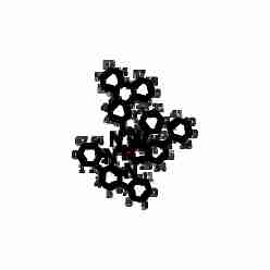 C1=CC2c3ccc4c5ccccc5n(-c5ccc(-c6ccccc6)cc5)c4c3N(c3nc(-c4cccc(-c5ccccc5)c4)nc(-c4ccc5c6ccccc6c6ccccc6c5c4)n3)C2C=C1